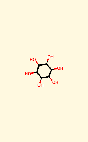 O[C@H]1[C@@H](O)[C@@H](O)[C@@H](O)[C@@H](O)[C@H]1O